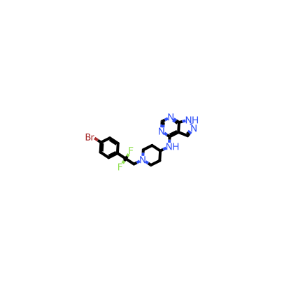 FC(F)(CN1CCC(Nc2ncnc3[nH]ncc23)CC1)c1ccc(Br)cc1